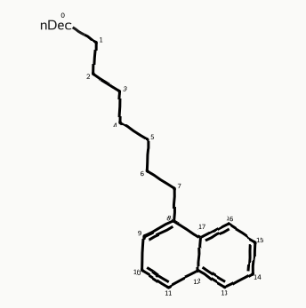 [CH2]CCCCCCCCCCCCCCCCc1cccc2ccccc12